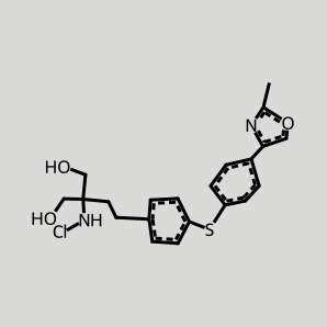 Cc1nc(-c2ccc(Sc3ccc(CCC(CO)(CO)NCl)cc3)cc2)co1